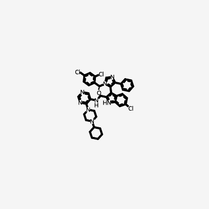 C[C@@H](c1ccc(Cl)cc1Cl)n1cnc(-c2ccccc2)c1-c1c(C(=O)Nc2cncnc2N2CCN(C3CCCCC3)CC2)[nH]c2cc(Cl)ccc12